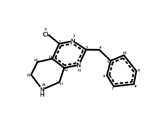 Clc1nc(Cc2ccccc2)nc2c1CCNC2